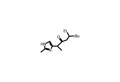 CCCCC(CC)CC(=O)C(C)c1c[nH]c(C)n1